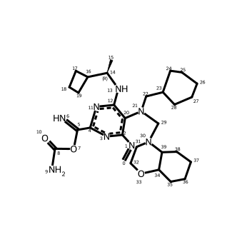 C=Nc1nc(C(=N)OC(N)=O)nc(N[C@H](C)C2CCC2)c1N(CC1CCCCC1)CN1CCOC2CCCCC21